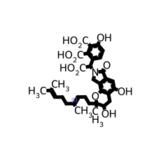 CC(C)=CCC/C(C)=C/CCC1(C)Oc2c(c(O)cc3c2CN(C(C(=O)O)c2ccc(O)c(C(=O)O)c2C(=O)O)C3=O)CC1O